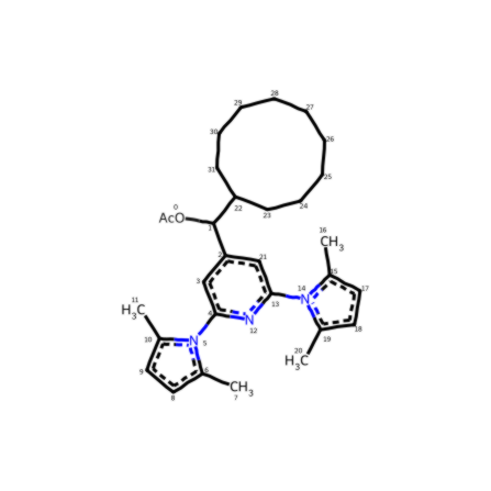 CC(=O)OC(c1cc(-n2c(C)ccc2C)nc(-n2c(C)ccc2C)c1)C1CCCCCCCCC1